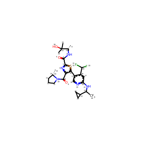 C[C@H](NC(=O)c1nc(C(=O)N2CCC[C@@H]2C)c(-c2cnc(NC(C3CC3)C(F)(F)F)cc2C(F)F)s1)C(C)(C)O